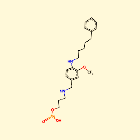 O=[PH](O)OCCCNCc1ccc(NCCCCCc2ccccc2)c(OC(F)(F)F)c1